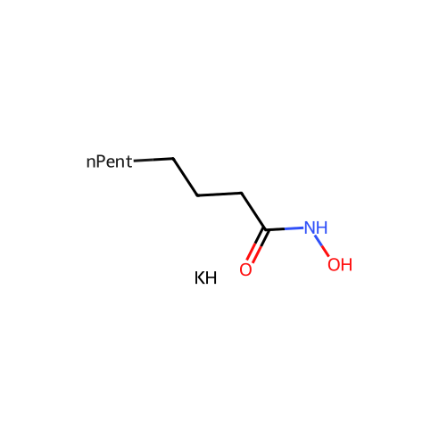 CCCCCCCCC(=O)NO.[KH]